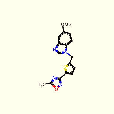 COc1ccc2c(c1)ncn2Cc1ccc(-c2noc(C(F)(F)F)n2)s1